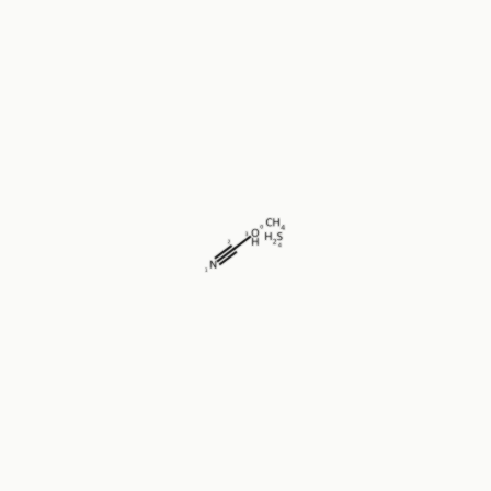 C.N#CO.S